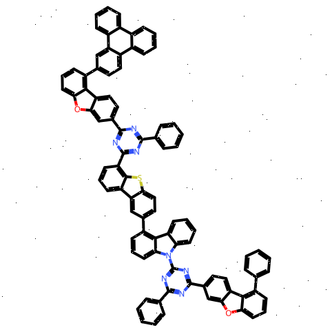 c1ccc(-c2nc(-c3ccc4c(c3)oc3cccc(-c5ccc6c7ccccc7c7ccccc7c6c5)c34)nc(-c3cccc4c3sc3ccc(-c5cccc6c5c5ccccc5n6-c5nc(-c6ccccc6)nc(-c6ccc7c(c6)oc6cccc(-c8ccccc8)c67)n5)cc34)n2)cc1